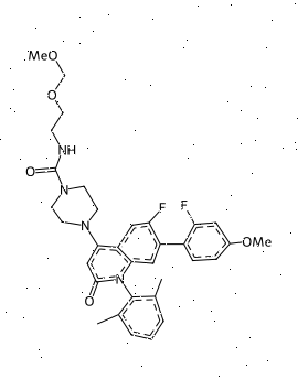 COCOCCNC(=O)N1CCN(c2cc(=O)n(-c3c(C)cccc3C)c3cc(-c4ccc(OC)cc4F)c(F)cc23)CC1